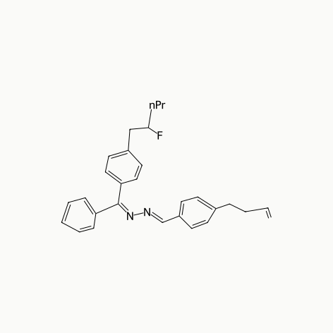 C=CCCc1ccc(C=NN=C(c2ccccc2)c2ccc(CC(F)CCC)cc2)cc1